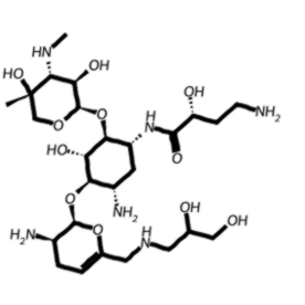 CN[C@@H]1[C@@H](O)[C@@H](O[C@@H]2[C@@H](O)[C@H](O[C@H]3OC(CNCC(O)CO)=CC[C@H]3N)[C@@H](N)C[C@H]2NC(=O)[C@H](O)CCN)OC[C@]1(C)O